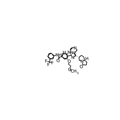 COCCOc1cc(C(=O)Nc2cccc(C(F)(F)F)c2)ccc1C1=NC([C@@H]2CC[C@H]3CCC(=O)N3C2)=C2C=NC=C[N+]12N